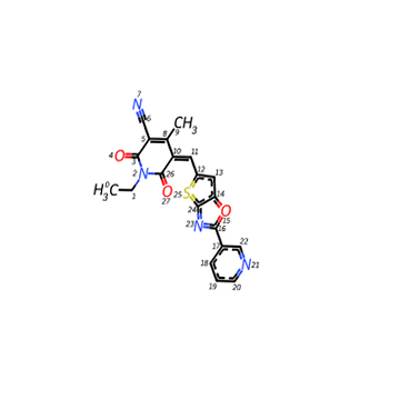 CCN1C(=O)C(C#N)=C(C)/C(=C/c2cc3oc(-c4cccnc4)nc3s2)C1=O